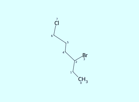 CCC(Br)CCCCl